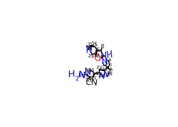 C[C@@H](NC(=O)N1CCC2(CCn3nc(-c4cnc(N)c(C#N)c4)cc32)C1)c1ccncc1